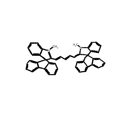 CN1\C(=C/C=C/C=C/C2=[N+](C)c3ccccc3C23c2ccccc2-c2ccccc23)C2(c3ccccc3-c3ccccc32)c2ccccc21